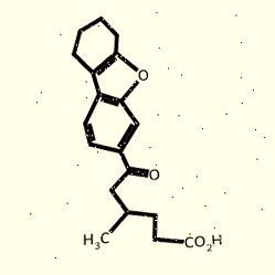 CC(CCC(=O)O)CC(=O)c1ccc2c3c(oc2c1)CCCC3